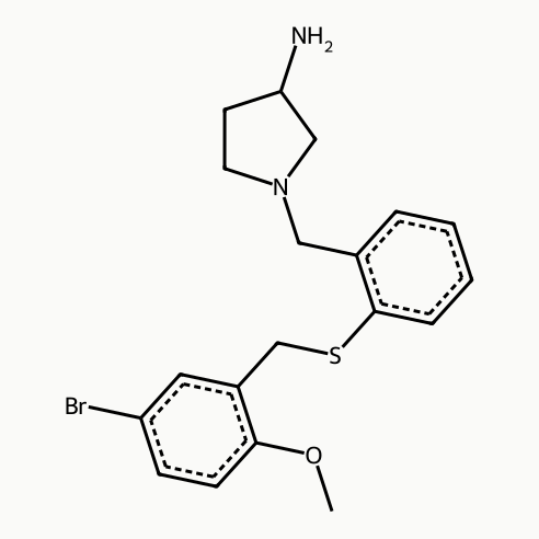 COc1ccc(Br)cc1CSc1ccccc1CN1CCC(N)C1